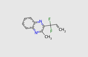 C=CC(F)(F)c1nc2ccccc2nc1C